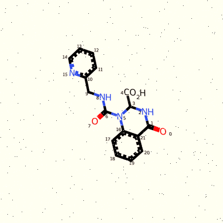 O=C1NC(C(=O)O)N(C(=O)NCc2ccccn2)c2ccccc21